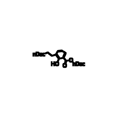 CCCCCCCCCCCCc1cccc(C(=O)OCCCCCCCCCC)c1O